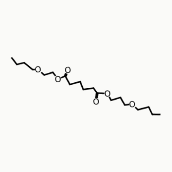 CCCCOCCCOC(=O)CCCCC(=O)OCCOCCCC